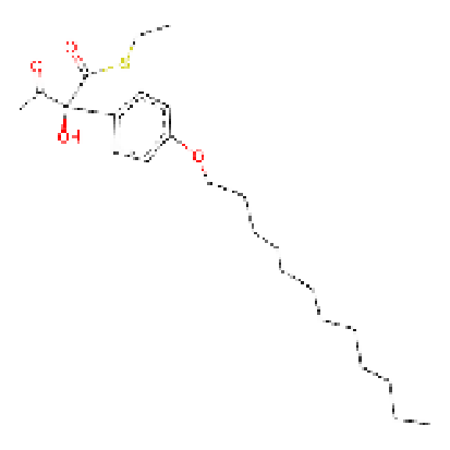 CCCCCCCCCCCCOc1ccc([C@](O)(C(C)=O)C(=O)SCC)cc1